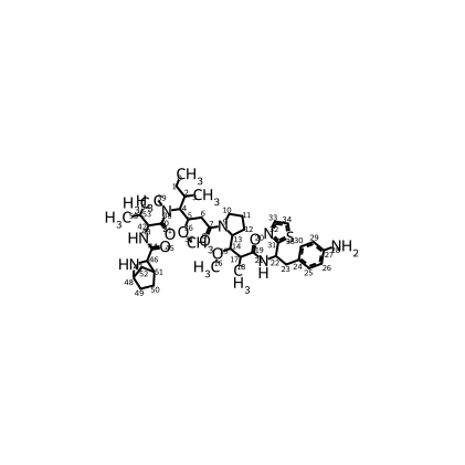 CCC(C)C(C(CC(=O)N1CCCC1C(OC)C(C)C(=O)NC(Cc1ccc(N)cc1)c1nccs1)OC)N(C)C(=O)C(NC(=O)C1NC2CCC1C2)C(C)C